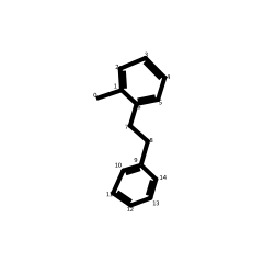 Cc1ccccc1CCc1cc[c]cc1